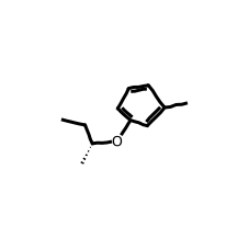 CC[C@@H](C)Oc1cccc(C)c1